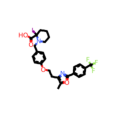 Cc1oc(-c2ccc(C(F)(F)F)cc2)nc1CCOc1ccc(CN2CCCCC2(I)C(=O)O)cc1